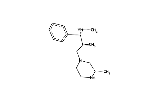 CN[C@@H](c1ccccc1)[C@@H](C)CN1CCN[C@@H](C)C1